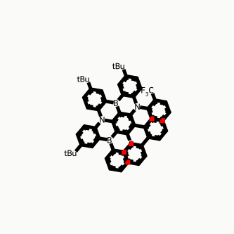 CC(C)(C)c1ccc2c(c1)B1c3ccccc3Sc3c1c1c4c(c3-c3ccccc3-c3ccccc3)N(c3ccccc3C(F)(F)F)c3ccc(C(C)(C)C)cc3B4c3cc(C(C)(C)C)ccc3N21